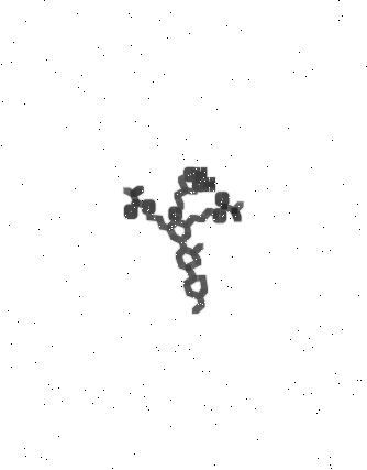 C=C(C)C(=O)OCCCC1CC(C2CCC(C3CCC(CC)CC3)CC2C)CC(CCCOC(=O)C(=C)C)C1OCCC(CO)CO